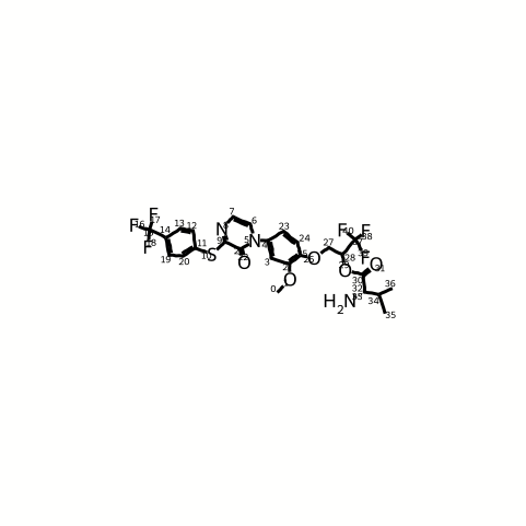 COc1cc(-n2ccnc(Sc3ccc(C(F)(F)F)cc3)c2=O)ccc1OCC(OC(=O)[C@@H](N)C(C)C)C(F)(F)F